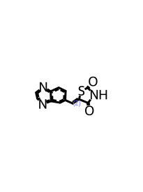 O=C1NC(=O)/C(=C/c2ccc3nccnc3c2)S1